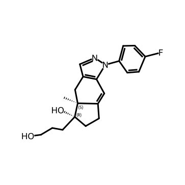 C[C@]12Cc3cnn(-c4ccc(F)cc4)c3C=C1CC[C@@]2(O)CCCO